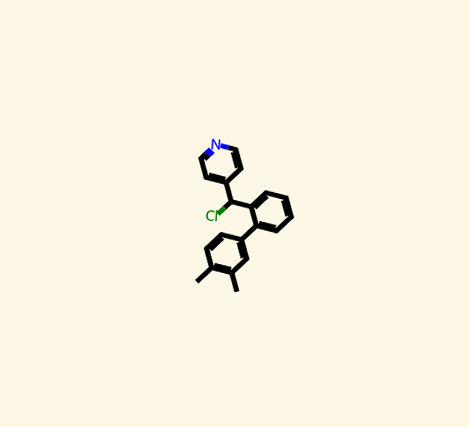 Cc1ccc(-c2ccccc2C(Cl)c2ccncc2)cc1C